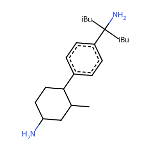 CCC(C)C(N)(c1ccc(C2CCC(N)CC2C)cc1)C(C)CC